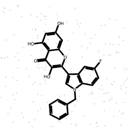 O=c1c(O)c(-c2cn(Cc3ccccc3)c3ccc(F)cc23)oc2cc(O)cc(O)c12